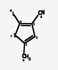 Cc1cc(C#N)c(I)s1